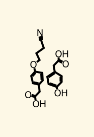 N#CCCCOc1ccc(CC(=O)O)cc1.O=C(O)Cc1ccc(O)cc1